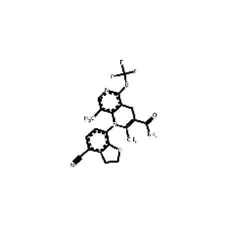 CC1=C(C(N)=O)Cc2c(OC(F)(F)F)ncc(C)c2N1c1ccc(C#N)c2c1OCC2